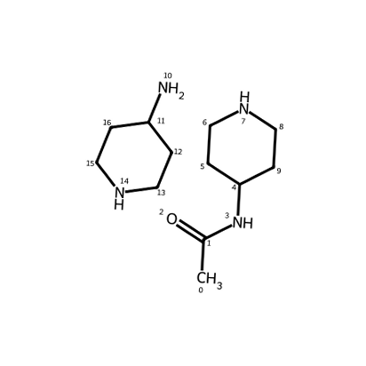 CC(=O)NC1CCNCC1.NC1CCNCC1